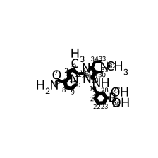 Cc1cc2c(C(N)=O)cccn2c1-c1nc2c(c(NCc3cccc(B(O)O)c3)n1)CN(C)CC2